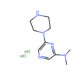 CN(C)c1cncc(N2CCNCC2)n1.Cl.Cl